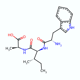 CC[C@H](C)[C@H](NC(=O)[C@@H](N)Cc1c[nH]c2ccccc12)C(=O)N[C@@H](C)C(=O)O